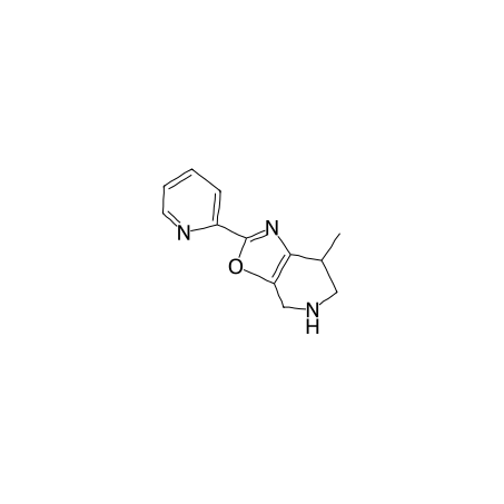 CC1CNCc2oc(-c3ccccn3)nc21